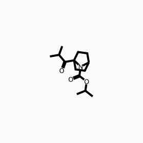 CC(C)OC(=O)N1C2CCC1(C(=O)C(C)C)CC2